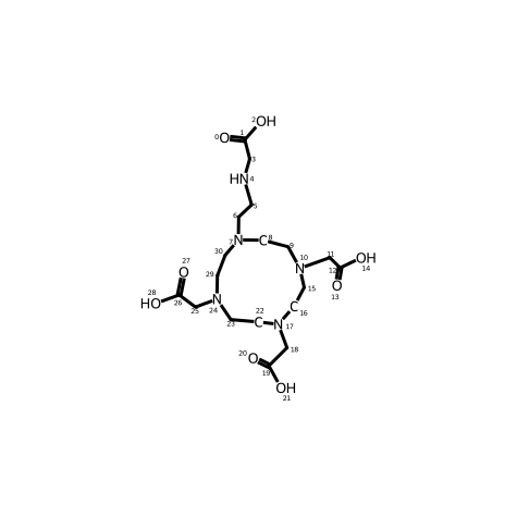 O=C(O)CNCCN1CCN(CC(=O)O)CCN(CC(=O)O)CCN(CC(=O)O)CC1